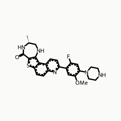 COc1cc(-c2ccc3c(ccc4sc5c(c43)NC[C@@H](C)NC5=O)n2)c(F)cc1N1CCNCC1